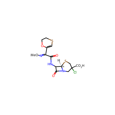 CON=C(C(=O)NC1C(=O)N2CC(Cl)(C(=O)O)CS[C@H]12)C1=CSCCO1